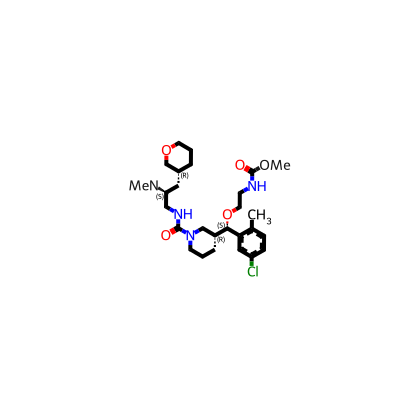 CN[C@H](CNC(=O)N1CCC[C@@H]([C@H](OCCNC(=O)OC)c2cc(Cl)ccc2C)C1)C[C@H]1CCCOC1